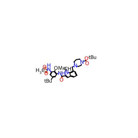 COc1c(NC(=O)c2cc3cccc(CN4CCCN(C(=O)OC(C)(C)C)CC4)c3n2C)cc(C(C)(C)C)cc1NS(C)(=O)=O